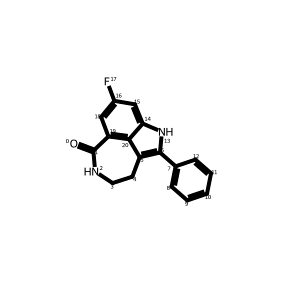 O=C1NCCc2c(-c3ccccc3)[nH]c3cc(F)cc1c23